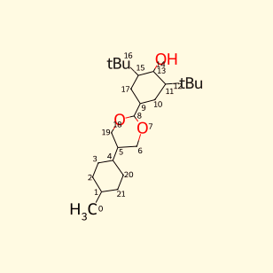 CC1CCC(C2COC(C3CC(C(C)(C)C)C(O)C(C(C)(C)C)C3)OC2)CC1